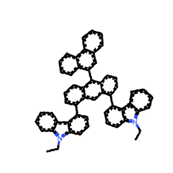 CCn1c2ccccc2c2c(-c3cccc4c(-c5cc6ccccc6c6ccccc56)c5cccc(-c6cccc7c6c6ccccc6n7CC)c5cc34)cccc21